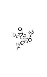 CCOC(=O)COc1ccccc1CC(NC(=O)c1cc(OC2CCCC2)nc(-c2ccccc2)n1)C(=O)N1CCN(C(=O)OCC)CC1